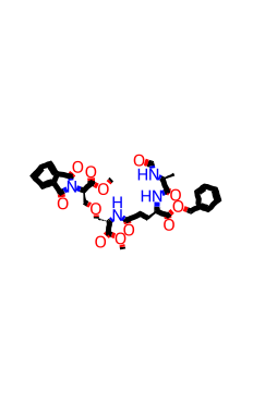 COC(=O)[C@H](COC[C@H](C(=O)OC)N1C(=O)c2ccccc2C1=O)NC(=O)CC[C@@H](NC(=O)[C@H](C)NC=O)C(=O)OCc1ccccc1